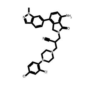 Cn1ncc2ccc(-c3ccc(N)c4c3CN(CC(C#N)CN3CCN(c5ccc(Cl)cc5Cl)CC3)C4=O)cc21